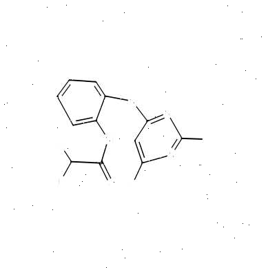 O=C(Nc1ccccc1Nc1cc(Cl)nc(Cl)n1)C(F)F